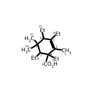 CCC1=C(C)C(CC)(C(=O)O)C(CC)C(C)(C)C1CC